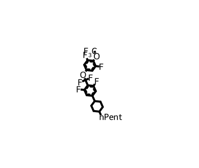 CCCCCC1CCC(c2cc(F)c(C(F)(F)Oc3cc(F)c(OC(F)(F)F)c(F)c3)c(F)c2)CC1